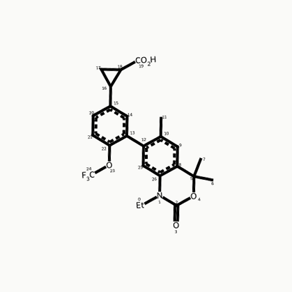 CCN1C(=O)OC(C)(C)c2cc(C)c(-c3cc(C4CC4C(=O)O)ccc3OC(F)(F)F)cc21